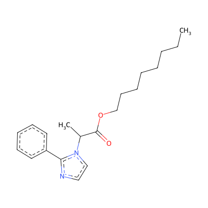 CCCCCCCCOC(=O)C(C)n1ccnc1-c1ccccc1